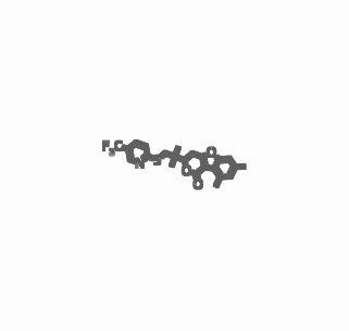 Cc1cc(C)c2c3c(oc2c1)CC(C(C)(C)CSc1ccc(C(F)(F)F)cn1)OC3=O